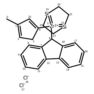 CC1=CC[C]([Zr+2]2([CH]3c4ccccc4-c4ccccc43)=[Si]3CC[Si]=2CC3)=C1.[Cl-].[Cl-]